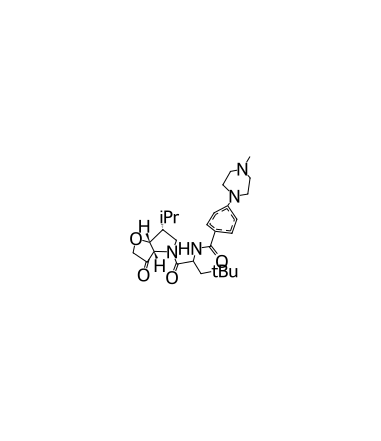 CC(C)[C@@H]1CN(C(=O)C(CC(C)(C)C)NC(=O)c2ccc(N3CCN(C)CC3)cc2)[C@@H]2C(=O)CO[C@@H]21